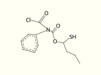 CCCC(S)OC(=O)N(C(=O)Cl)c1ccccc1